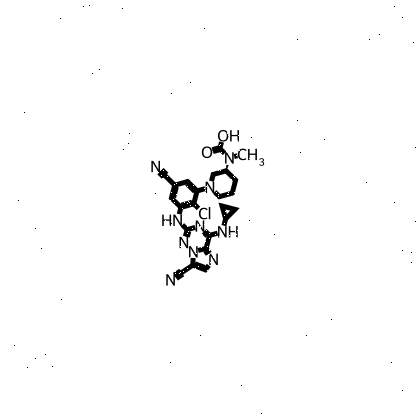 CN(C(=O)O)[C@@H]1CCCN(c2cc(C#N)cc(Nc3nc(NC4CC4)c4ncc(C#N)n4n3)c2Cl)C1